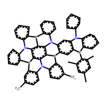 Cc1cc(C)c(B2c3ccccc3N(c3ccccc3)c3cc4c(cc32)B2c3cc(C(F)(F)F)ccc3N3c5ccc(C(F)(F)F)cc5B5c6ccccc6N6c7ccccc7B7c8ccccc8N4c4c7c6c5c3c42)c(C)c1